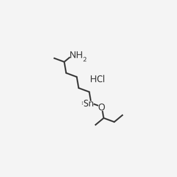 CCC(C)[O][Sn][CH2]CCCC(C)N.Cl